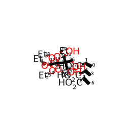 C=CC(=O)O.C=CC(=O)O.C=CC(=O)O.CCOC(OCC)(OCC)C(OCC)(OCC)C(CO)(CO)CO